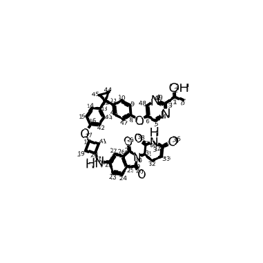 CC(O)c1ncc(Oc2ccc(C3(c4ccc(O[C@H]5C[C@H](Nc6ccc7c(c6)C(=O)N(C6CCC(=O)NC6=O)C7=O)C5)cc4)CC3)cc2)cn1